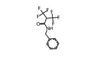 O=C(NCc1ccccc1)C(C(F)(F)F)C(F)(F)F